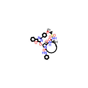 CC(C)Oc1ccc(-c2nc(O[C@@H]3C[C@H]4C(=O)N[C@]5(C(=O)NS(=O)(=O)C6CC6)C[C@H]5/C=C\CCCCC[C@H](Nc5ccccc5)C(=O)N4C3)c3oc4ccccc4c3n2)cc1